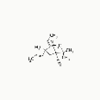 CC=CC(C)(C=CC)CC(C#N)(C#N)C(C)(C)C